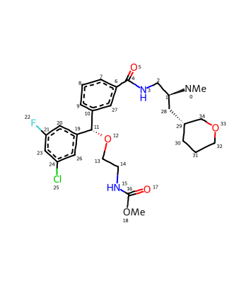 CN[C@H](CNC(=O)c1cccc([C@H](OCCNC(=O)OC)c2cc(F)cc(Cl)c2)c1)C[C@H]1CCCOC1